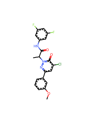 COc1cccc(-c2cc(Cl)c(=O)n(C(C)C(=O)Nc3cc(F)cc(F)c3)n2)c1